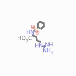 N=C(N)NCCC[C@H](NS(=O)(=O)c1ccccc1)C(=O)O